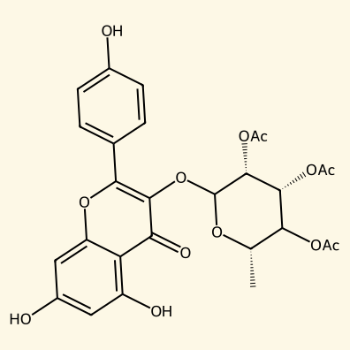 CC(=O)OC1[C@H](C)OC(Oc2c(-c3ccc(O)cc3)oc3cc(O)cc(O)c3c2=O)[C@H](OC(C)=O)[C@@H]1OC(C)=O